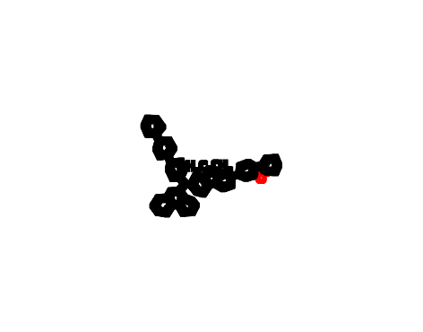 CC1(C)c2cc(-c3ccc4c(c3)oc3ccccc34)ccc2-c2ccc(C(c3ccc(-c4ccc(-c5ccccc5)cc4)cc3)c3cc4ccccc4c4ccccc34)cc21